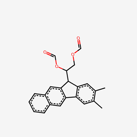 Cc1cc2c(cc1C)C(C(COC=O)OC=O)c1cc3ccccc3cc1-2